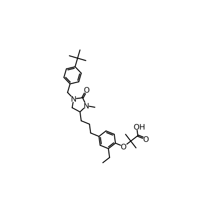 CCc1cc(CCCC2CN(Cc3ccc(C(C)(C)C)cc3)C(=O)N2C)ccc1OC(C)(C)C(=O)O